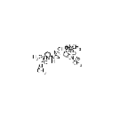 CCOCC(=O)N(C)c1cccc(Nc2nc(C)c(-c3cc4c(c(S(=O)(=O)NC)c3)C(=O)N([C@@H](C)C3(I)CC3)C4)s2)n1